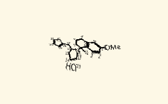 COc1ccc2c(c1)CCCC2(C)N1CCCC1Cc1cccs1.Cl